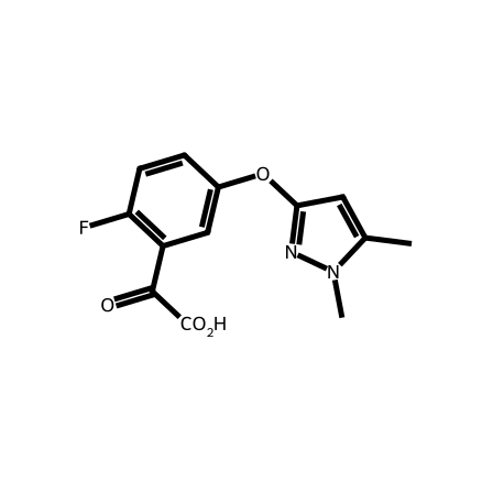 Cc1cc(Oc2ccc(F)c(C(=O)C(=O)O)c2)nn1C